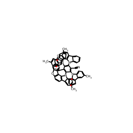 Cc1ccc2c(c1)c1cc(C)ccc1n2-c1c(C#N)c(-n2c3ccccc3c3ccc4oc5ccccc5c4c32)c(-n2c3ccc(C)cc3c3cc(C)ccc32)c(C#N)c1-n1c2ccccc2c2ccc3oc4ccccc4c3c21